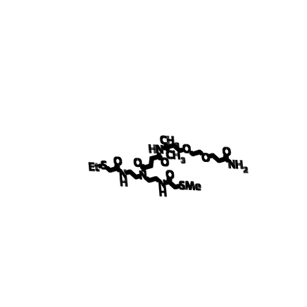 CCSCC(=O)NCCN(CCNC(=O)CSC)C(=O)CCC(=O)NC(C)(C)CCOCCOCCC(N)=O